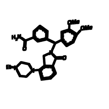 CCN1CCN(c2cccc3c2CN(C(c2cccc(C(N)=O)c2)c2ccc(OC)c(OC)c2)C3=O)CC1